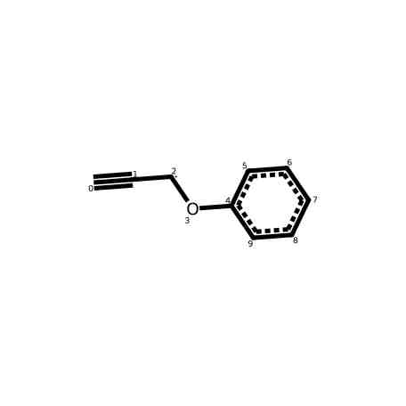 C#C[CH]Oc1ccccc1